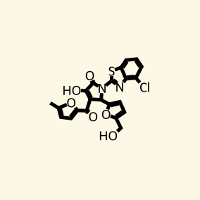 Cc1ccc(C(=O)C2=C(O)C(=O)N(c3nc4c(Cl)cccc4s3)C2c2ccc(CO)o2)o1